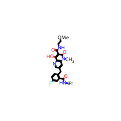 COCCNC(=O)c1c(O)c2ncc(Cc3ccc(F)cc3C(=O)NC(C)C)cc2n(C)c1=O